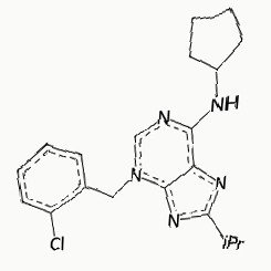 CC(C)c1nc2c(NC3CCCC3)ncn(Cc3ccccc3Cl)c-2n1